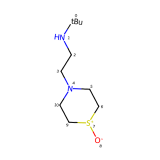 CC(C)(C)NCCN1CC[S+]([O-])CC1